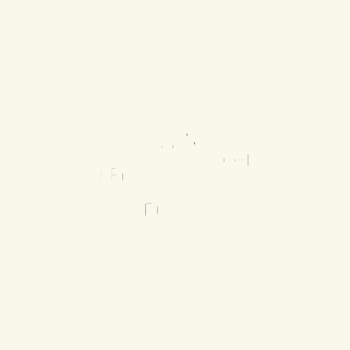 CCCC(CC)c1cc(O)no1